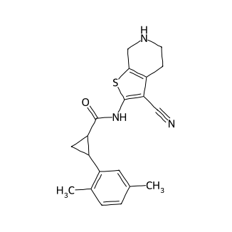 Cc1ccc(C)c(C2CC2C(=O)Nc2sc3c(c2C#N)CCNC3)c1